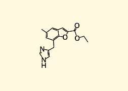 CCOC(=O)c1cc2cc(C)cc(Cc3c[nH]cn3)c2o1